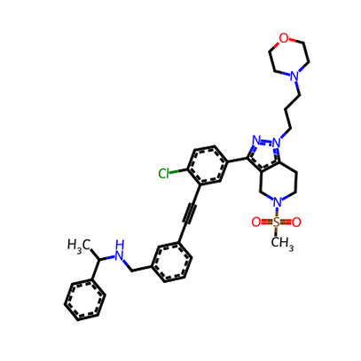 CC(NCc1cccc(C#Cc2cc(-c3nn(CCCN4CCOCC4)c4c3CN(S(C)(=O)=O)CC4)ccc2Cl)c1)c1ccccc1